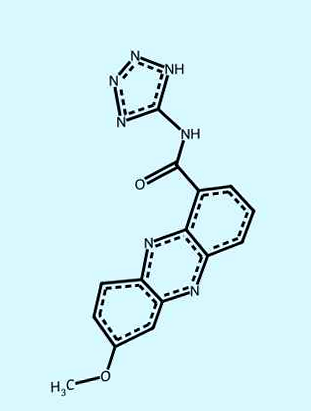 COc1ccc2nc3c(C(=O)Nc4nnn[nH]4)cccc3nc2c1